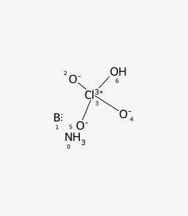 N.[B].[O-][Cl+3]([O-])([O-])O